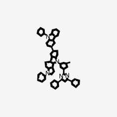 Cc1cc(-c2nc(-c3ccccc3)cc(-c3ccccc3)n2)cc(-n2c3ccc(-c4ccc5c(c4)c4ccccc4n5-c4ccccc4)cc3c3ccc4c(ccn4-c4ccccc4)c32)c1